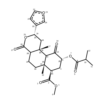 COC(=O)[C@@H]1C[C@@H](OC(=O)C(C)C)C(=O)C2[C@@]3(C)C[C@@H](c4ccoc4)OC(=O)C3CC[C@]21C